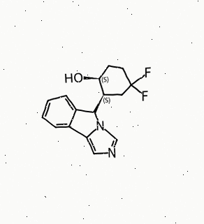 O[C@H]1CCC(F)(F)C[C@H]1C1c2ccccc2-c2cncn21